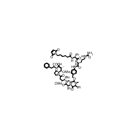 CC[C@H](C)[C@@H]([C@@H](CC(=O)N1CCC[C@H]1[C@H](OC)[C@@H](C)C(=O)N[C@@H](Cc1ccccc1)C(=O)O)OC)N(C)C(=O)[C@@H](NC(=O)C(C(C)C)N(C)C(=O)OCc1ccc(NC(=O)[C@H](CCCNC(N)=O)NC(=O)[C@@H](NC(=O)CCCCCN2C(=O)C=CC2=O)C(C)C)cc1)C(C)C